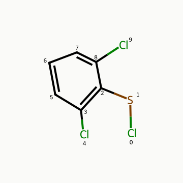 ClSc1c(Cl)cccc1Cl